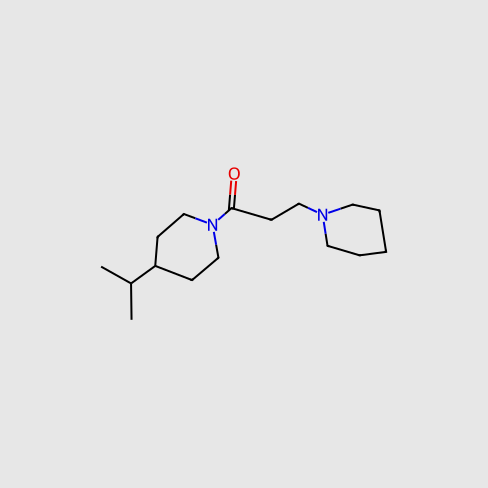 CC(C)C1CCN(C(=O)CCN2CCCCC2)CC1